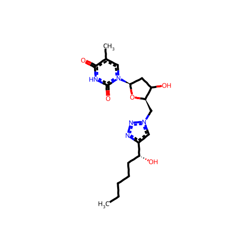 CCCCC[C@@H](O)c1cn(C[C@H]2O[C@@H](n3cc(C)c(=O)[nH]c3=O)CC2O)nn1